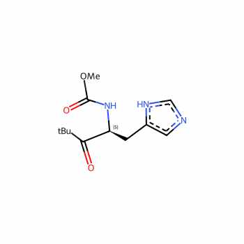 COC(=O)N[C@@H](Cc1cnc[nH]1)C(=O)C(C)(C)C